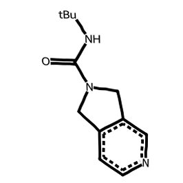 CC(C)(C)NC(=O)N1Cc2ccncc2C1